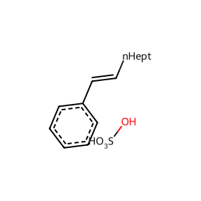 CCCCCCCC=Cc1ccccc1.O=S(=O)(O)O